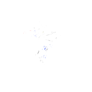 Cc1cc(Nc2nccc(C(F)(F)F)n2)cc(-c2cnc(C(NCO)(C3CC3)C3CC3)s2)c1